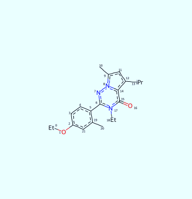 CCOc1ccc(-c2nn3c(C)cc(C(C)C)c3c(=O)n2CC)c(C)c1